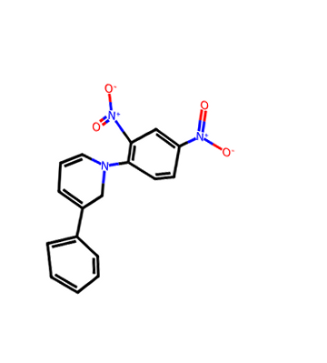 O=[N+]([O-])c1ccc(N2C=CC=C(c3ccccc3)C2)c([N+](=O)[O-])c1